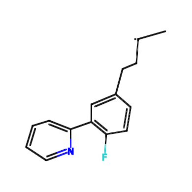 C[CH]CCc1ccc(F)c(-c2ccccn2)c1